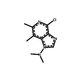 Cc1nc(Cl)c2ncn(N(C)C)c2c1C